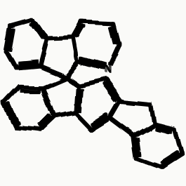 c1ccc2c(c1)Cc1cc3c(cc1-2)-c1ccccc1C31c2ccccc2-c2cccnc21